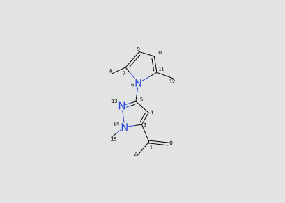 C=C(C)c1cc(-n2c(C)ccc2C)nn1C